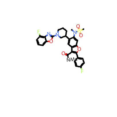 CNC(=O)c1c(-c2ccc(F)cc2)oc2cc(N(C)S(C)(=O)=O)c(C3CCCN(c4nc5c(F)cccc5o4)C3)cc12